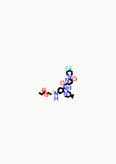 C=CC(=O)OCCSNc1ccc(NC(=O)c2ccc(OC)c(N3CCC(F)(F)CC3)n2)c(N2CCC3(CC2)CC3)c1